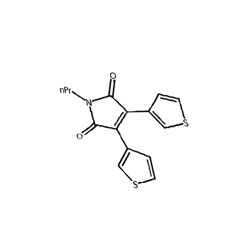 CCCN1C(=O)C(c2ccsc2)=C(c2ccsc2)C1=O